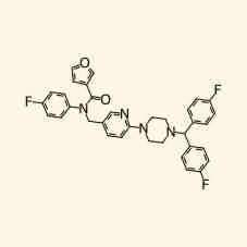 O=C(c1ccoc1)N(Cc1ccc(N2CCN(C(c3ccc(F)cc3)c3ccc(F)cc3)CC2)nc1)c1ccc(F)cc1